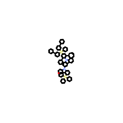 C1#CCC(c2cc(S(c3ccccc3)(c3cccc(-c4ccccc4)c3)c3cccc(-c4ccccc4)c3)cc(-c3ccccc3)c2-n2c3c(c4cc(-n5c6ccccc6c6c(S(c7ccccc7)(c7ccccc7)c7ccccc7)cccc65)ccc42)C=CCC3)=CC=C1